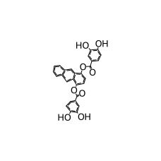 O=C(Oc1ccc(OC(=O)c2ccc(O)c(O)c2)c2cc3ccccc3cc12)c1ccc(O)c(O)c1